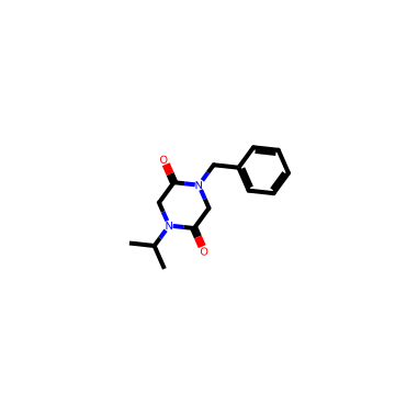 CC(C)N1CC(=O)N(Cc2ccccc2)CC1=O